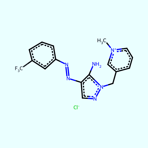 C[n+]1cccc(Cn2ncc(N=Nc3cccc(C(F)(F)F)c3)c2N)c1.[Cl-]